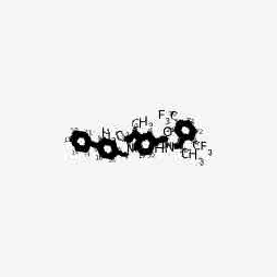 Cc1c(C)n(Cc2ccc(-c3ccccc3)cc2)c2ccc(C(=O)N[C@H](C)c3cc(C(F)(F)F)ccc3C(F)(F)F)cc12